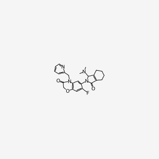 CN(C)C1C2=C(CCCC2)C(=O)N1c1cc2c(cc1F)OCC(=O)N2Cc1ccccn1